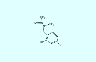 NC(=S)N(N)Cc1ccc(Br)cc1Br